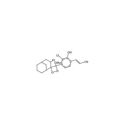 CCC1CC2CCCC(C2)C12OOC2(OC)c1ccc(/C=C/C#N)c(O)c1Cl